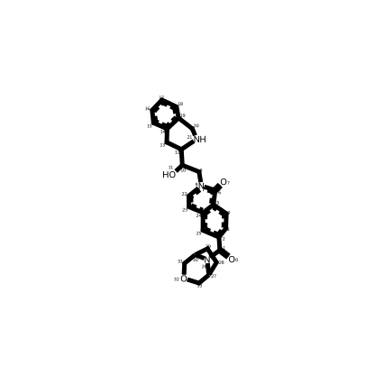 O=C(c1ccc2c(=O)n(CC(O)C3Cc4ccccc4CN3)ccc2c1)N1C2CCC1COC2